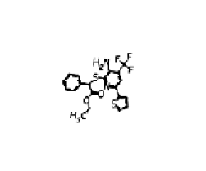 CCOC(=O)C(Sc1nc(-c2cccs2)cc(C(F)(F)F)c1N)c1ccccc1